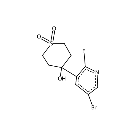 O=S1(=O)CCC(O)(c2cc(Br)cnc2F)CC1